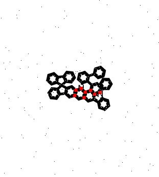 c1ccc(-c2ccccc2-c2c(-c3ccccc3)cccc2N(c2ccc3c(c2)C2(c4ccccc4-c4ccccc42)c2ccccc2-3)c2ccc3c4ccccc4n(-c4ccccc4)c3c2)cc1